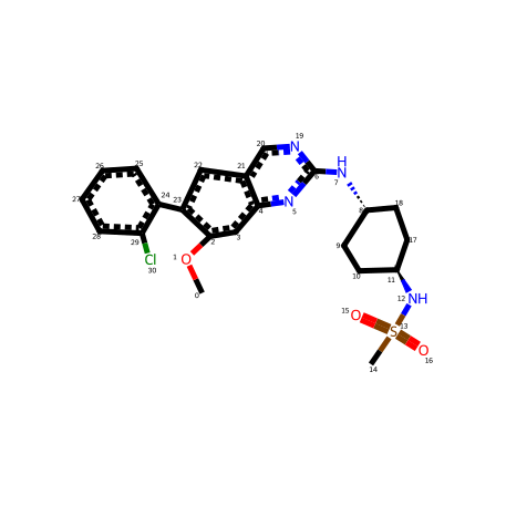 COc1cc2nc(N[C@H]3CC[C@H](NS(C)(=O)=O)CC3)ncc2cc1-c1ccccc1Cl